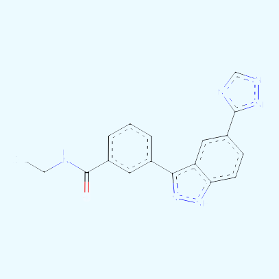 CC(C)(C)CNC(=O)c1cccc(-c2n[nH]c3ccc(-c4ncn[nH]4)cc23)c1